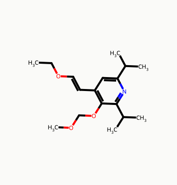 CCOC=Cc1cc(C(C)C)nc(C(C)C)c1OCOC